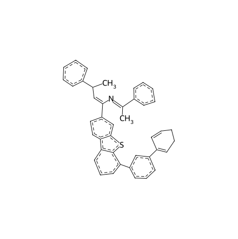 C/C(=N\C(=C/C(C)c1ccccc1)c1ccc2c(c1)sc1c(-c3cccc(C4=CCCC=C4)c3)cccc12)c1ccccc1